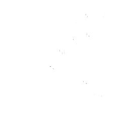 CCc1nsc(NC(=O)Nc2ccccc2N2CC3(CCN(CC(C)(C)C)CC3)c3c(Cl)ccc(O)c32)n1